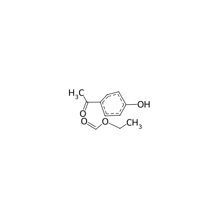 CC(=O)c1ccc(O)cc1.CCOC=O